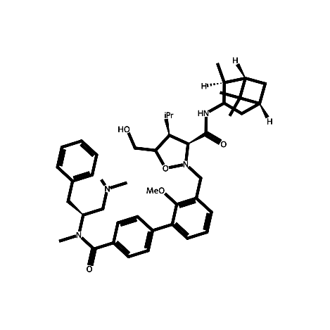 COc1c(CN2OC(CO)[C@@H](C(C)C)[C@H]2C(=O)NC2C[C@H]3C[C@@H]([C@@H]2C)C3(C)C)cccc1-c1ccc(C(=O)N(C)[C@@H](Cc2ccccc2)CN(C)C)cc1